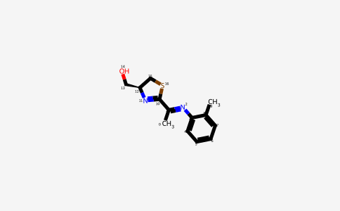 C/C(=N\c1ccccc1C)C1=N[C@@H](CO)CS1